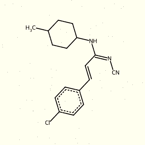 CC1CCC(NC(/C=C/c2ccc(Cl)cc2)=N/C#N)CC1